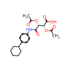 CC(=O)O[C@@H](C(=O)O)[C@@H](OC(C)=O)C(=O)Nc1ccc(C2CCCCC2)cc1